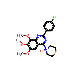 COc1cc2c([N+]3([O-])CCSCC3)nc(-c3ccc(Cl)cc3)nc2c(OC)c1OC